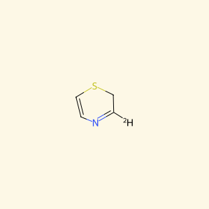 [2H]C1=NC=CSC1